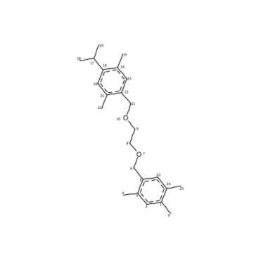 Cc1cc(C)c(COCCOCc2cc(C)c(C(C)C)cc2C)cc1C